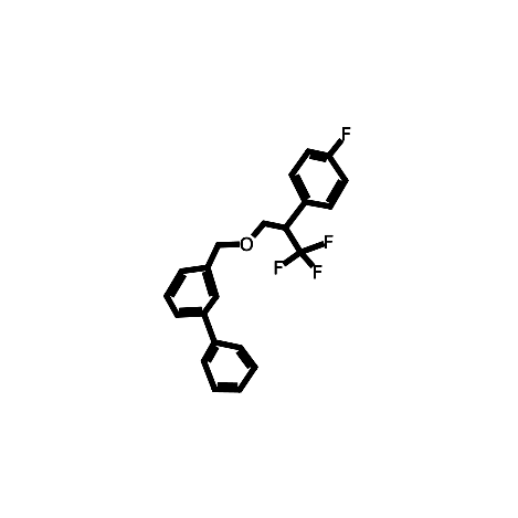 Fc1ccc(C(COCc2cccc(-c3ccccc3)c2)C(F)(F)F)cc1